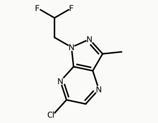 Cc1nn(CC(F)F)c2nc(Cl)cnc12